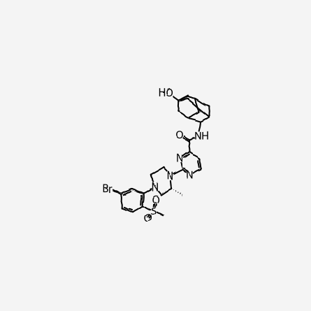 C[C@@H]1CN(c2cc(Br)ccc2S(C)(=O)=O)CCN1c1nccc(C(=O)NC2C3CC4CC2CC(O)(C4)C3)n1